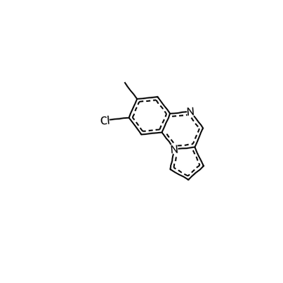 Cc1cc2ncc3cccn3c2cc1Cl